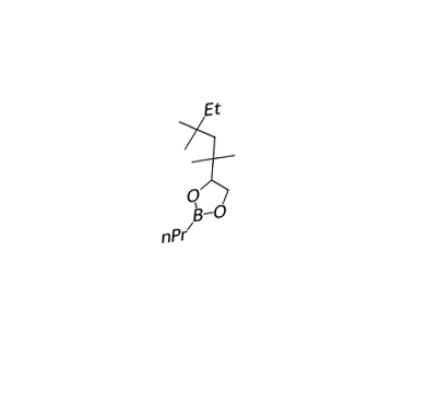 CCCB1OCC(C(C)(C)CC(C)(C)CC)O1